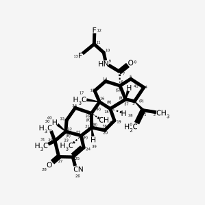 C=C(C)[C@@H]1CC[C@]2(C(=O)NCC(F)F)CC[C@]3(C)[C@H](CC[C@@H]4[C@@]5(C)C=C(C#N)C(=O)C(C)(C)[C@@H]5CC[C@]43C)[C@@H]12